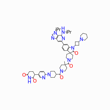 CC(C)Nc1nc(-c2ccc3c(c2)N(C2CC(N4CCCCC4)C2)C(=O)C32CCN(C(=O)C3(C)CCN(C(=O)C4CCN(c5ccc(C6CCC(=O)NC6=O)cn5)CC4)CC3)CC2)cc2ncn(C(C)C)c12